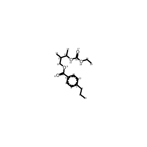 CCCc1ccc(C(=O)OCC(C)C(C)OC(=O)OCC)cc1